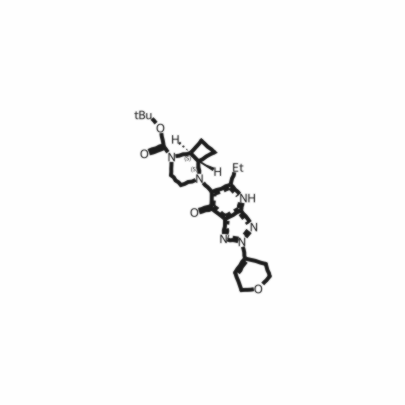 CCc1[nH]c2nn(C3=CCOCC3)nc2c(=O)c1N1CCN(C(=O)OC(C)(C)C)[C@H]2CC[C@@H]21